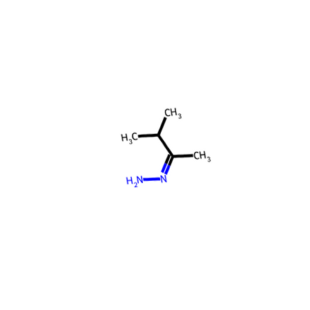 C/C(=N/N)C(C)C